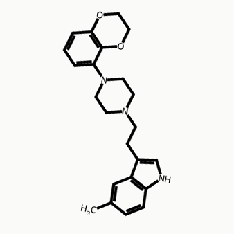 Cc1ccc2[nH]cc(CCN3CCN(c4cccc5c4OCCO5)CC3)c2c1